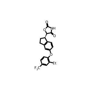 CCc1cc(C(F)(F)F)ccc1Oc1ccc2c(c1)CC[C@H]2C1OC(=O)NC1=O